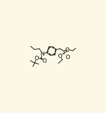 CCCN(C(=O)OC(C)(C)C)c1ccc(CP(=O)(OCC)OCC)cc1